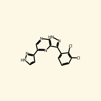 Clc1cccc(-c2n[nH]c3ncc(-c4cc[nH]n4)nc23)c1Cl